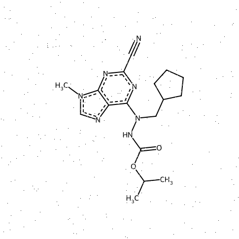 CC(C)OC(=O)NN(CC1CCCC1)c1nc(C#N)nc2c1ncn2C